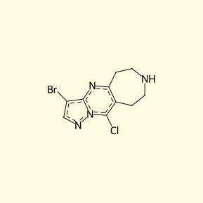 Clc1c2c(nc3c(Br)cnn13)CCNCC2